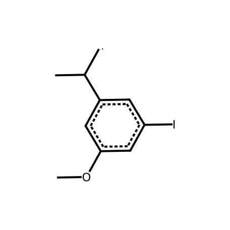 [CH2]C(C)c1cc(I)cc(OC)c1